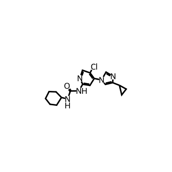 O=C(Nc1cc(-n2cnc(C3CC3)c2)c(Cl)cn1)NC1CCCCC1